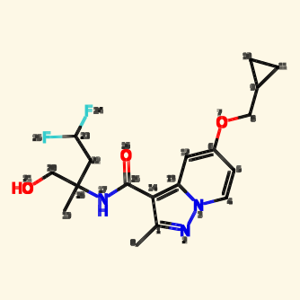 Cc1nn2ccc(OCC3CC3)cc2c1C(=O)NC(C)(CO)CC(F)F